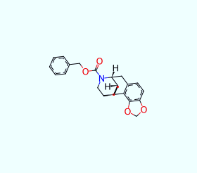 O=C(OCc1ccccc1)N1CC[C@]23CCCC[C@H]2[C@H]1Cc1ccc2c(c13)OCO2